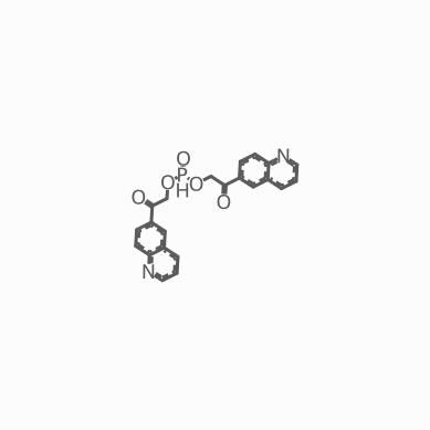 O=C(CO[PH](=O)OCC(=O)c1ccc2ncccc2c1)c1ccc2ncccc2c1